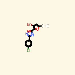 O=Cc1cc(Br)c(-c2nc(-c3ccc(Cl)cc3)no2)o1